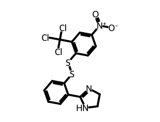 O=[N+]([O-])c1ccc(SSc2ccccc2C2=NCCN2)c(C(Cl)(Cl)Cl)c1